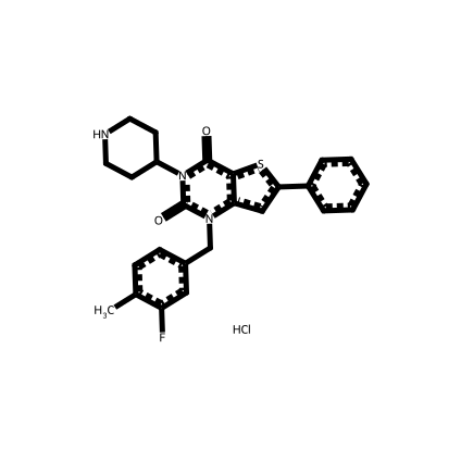 Cc1ccc(Cn2c(=O)n(C3CCNCC3)c(=O)c3sc(-c4ccccc4)cc32)cc1F.Cl